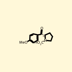 COc1ccc(C(=O)[C@@H]2CCCN2C(=O)O)cc1